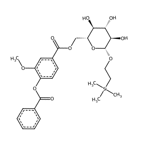 COc1cc(C(=O)OC[C@H]2O[C@@H](OCC[Si](C)(C)C)[C@H](O)[C@@H](O)[C@@H]2O)ccc1OC(=O)c1ccccc1